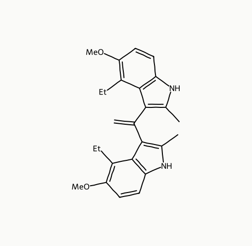 C=C(c1c(C)[nH]c2ccc(OC)c(CC)c12)c1c(C)[nH]c2ccc(OC)c(CC)c12